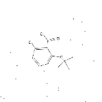 CC(C)(C)Oc1cccc(Cl)c1C(=O)Cl